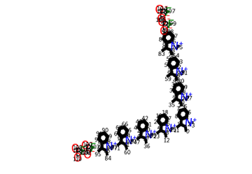 CC1=[N+](C)c2ccccc2C1C.CC1=[N+](C)c2ccccc2C1C.CC1=[N+](C)c2ccccc2C1C.CC1=[N+](C)c2ccccc2C1C.CC1=[N+](C)c2ccccc2C1C.CC1=[N+](C)c2ccccc2C1C.CC1=[N+](C)c2ccccc2C1C.CC1=[N+](C)c2ccccc2C1C.[O-]B([O-])F.[O-]B([O-])F.[O-]B([O-])F.[O-]B([O-])F